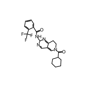 O=C(NC1N=CC2=CN(C(=O)C3CCCCC3)CCC2=N1)c1ccccc1C(F)(F)F